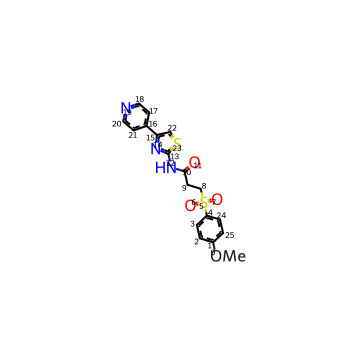 COc1ccc(S(=O)(=O)CCC(=O)Nc2nc(-c3ccncc3)cs2)cc1